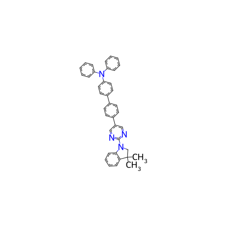 CC1(C)CN(c2ncc(-c3ccc(-c4ccc(N(c5ccccc5)c5ccccc5)cc4)cc3)cn2)c2ccccc21